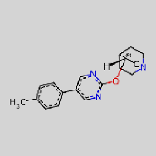 Cc1ccc(-c2cnc(O[C@H]3CN4CCC3CC4)nc2)cc1